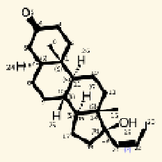 C[C@]12CCC(=O)C[C@@H]1CC[C@@H]1[C@@H]2CC[C@@]2(C)[C@H]1CC[C@@]2(O)/C=C\I